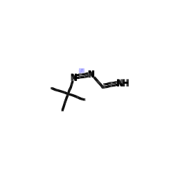 CC(C)(C)/N=N\C=N